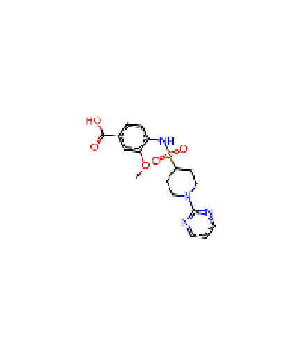 COc1cc(C(=O)O)ccc1NS(=O)(=O)C1CCN(c2ncccn2)CC1